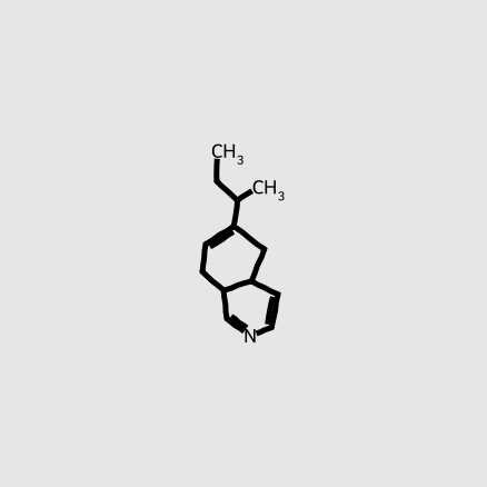 CCC(C)C1=CCC2C=NC=CC2C1